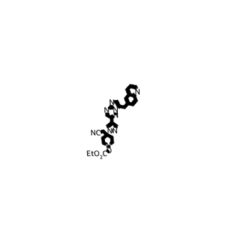 CCOC(=O)ON1CCC(CC#N)(n2cc(-c3cnc4ncc(Cc5ccc6ncccc6c5)n4n3)cn2)CC1